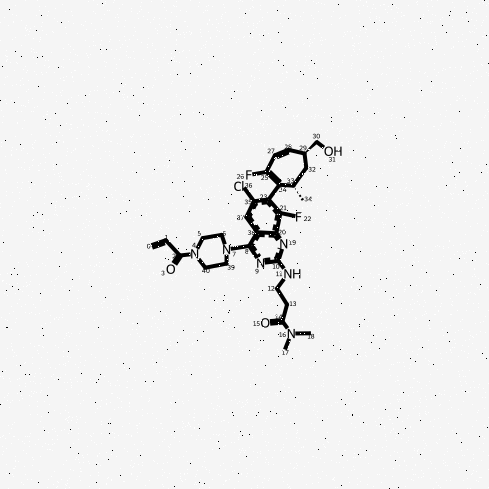 C=CC(=O)N1CCN(c2nc(NCCC(=O)N(C)C)nc3c(F)c(C4=C(F)C=C[C@@H](CO)C[C@@H]4C)c(Cl)cc23)CC1